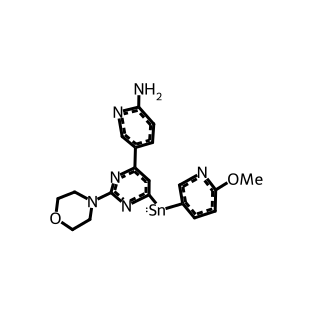 COc1cc[c]([Sn][c]2cc(-c3ccc(N)nc3)nc(N3CCOCC3)n2)cn1